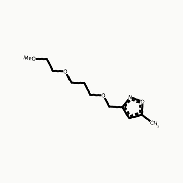 COCCOCCCOCc1cc(C)on1